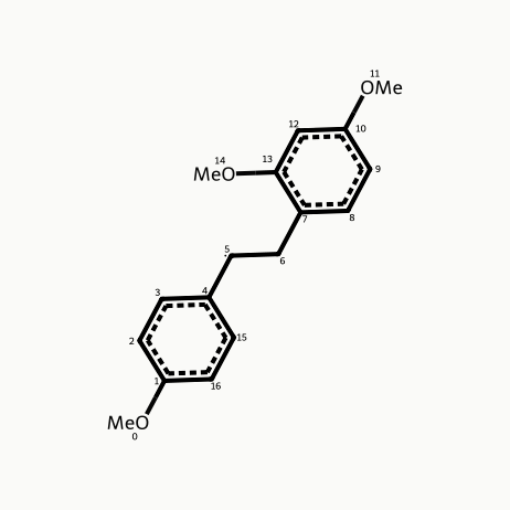 COc1ccc([CH]Cc2ccc(OC)cc2OC)cc1